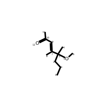 CCCC(C)(OC)/C(C)=C/C(C)=O